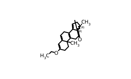 CCOC1=CC2=CCC3=C(CC[C@@]45C(=O)CC[C@]4(C)CC=C35)C2(C)CC1